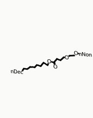 CCCCCCCCCCCCCCCCCCOC(=O)CCCOCCOCCCCCCCCC